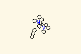 c1ccc(N2c3cc(-c4ccc5cc6ccccc6cc5c4)cc4c3B(c3ccc5ccccc5c32)c2ccc3ccccc3c2N4c2ccccc2)cc1